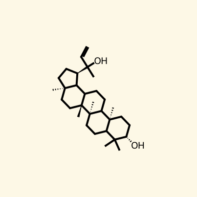 C=CC(C)(O)[C@@H]1CC[C@]2(C)CC[C@]3(C)C(CCC4[C@@]5(C)CC[C@H](O)C(C)(C)C5CC[C@]43C)C12